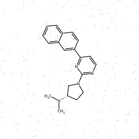 CN(C)[C@H]1CCN(c2nccc(-c3ccc4ccccc4c3)n2)C1